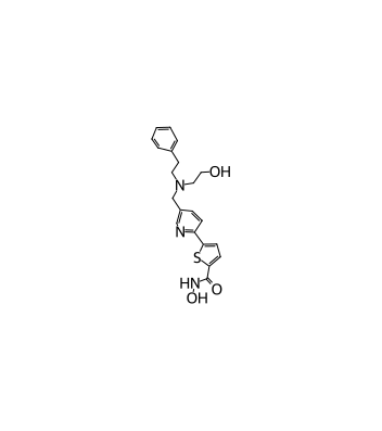 O=C(NO)c1ccc(-c2ccc(CN(CCO)CCc3ccccc3)cn2)s1